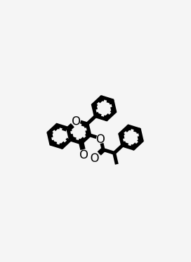 CC(C(=O)Oc1c(-c2ccccc2)oc2ccccc2c1=O)c1ccccc1